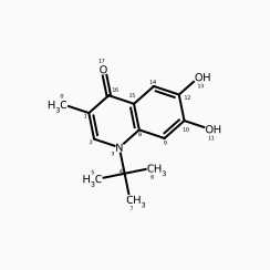 Cc1cn(C(C)(C)C)c2cc(O)c(O)cc2c1=O